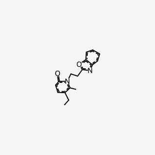 CCc1ccc(=O)n(CCc2nc3ccccc3o2)c1C